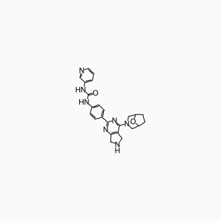 O=C(Nc1ccc(-c2nc3c(c(N4CC5CCC(C4)O5)n2)CNC3)cc1)Nc1cccnc1